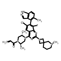 C=CC(=O)N1C[C@H](C)N(c2nc(N3CC4(CCCN(C)C4)C3)nc3c(F)c(-c4c(C)ccc5[nH]ncc45)c(Cl)cc23)C[C@H]1C